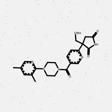 COCC1(c2ccc(C(=O)N3CCN(c4ncc(C)cc4C)CC3)cn2)CC(=O)NC1=O